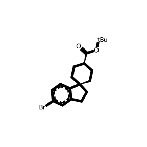 CC(C)(C)OC(=O)[C@H]1CC[C@]2(CCc3cc(Br)ccc32)CC1